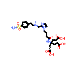 NS(=O)(=O)c1ccc(CCNCc2nccn2CCCC(=O)NC(CCC(=O)O)(CCC(=O)O)CCC(=O)O)cc1